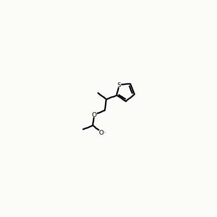 CC([O])OCC(C)c1cccs1